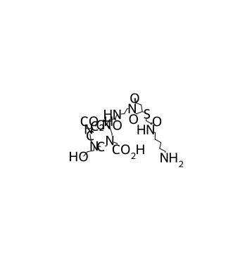 NCCCCCNC(=O)CSC1CC(=O)N(CCNC(=O)CN2CCN(CC(=O)O)CCN(CCO)CCN(CC(=O)O)CC2)C1=O